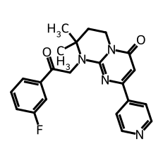 CC1(C)CCn2c(nc(-c3ccncc3)cc2=O)N1CC(=O)c1cccc(F)c1